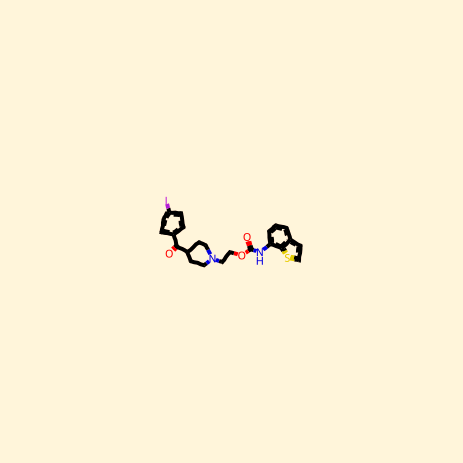 O=C(Nc1cccc2ccsc12)OCCN1CCC(C(=O)c2ccc(I)cc2)CC1